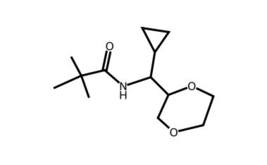 CC(C)(C)C(=O)NC(C1CC1)C1COCCO1